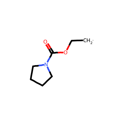 [CH2]COC(=O)N1CCCC1